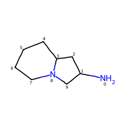 NC1CC2CCCCN2C1